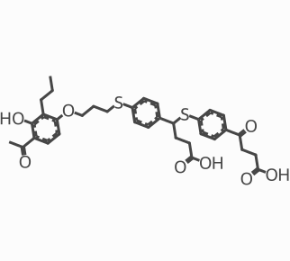 CCCc1c(OCCCSc2ccc(C(CCC(=O)O)Sc3ccc(C(=O)CCC(=O)O)cc3)cc2)ccc(C(C)=O)c1O